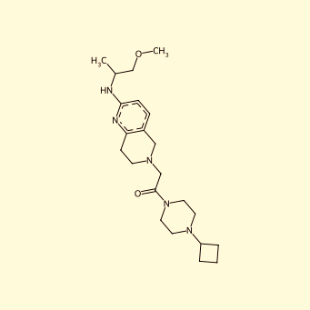 COCC(C)Nc1ccc2c(n1)CCN(CC(=O)N1CCN(C3CCC3)CC1)C2